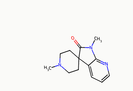 CN1CCC2(CC1)C(=O)N(C)c1ncccc12